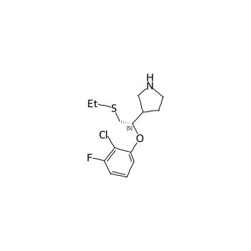 CCSC[C@@H](Oc1cccc(F)c1Cl)C1CCNC1